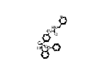 O=C(NCc1cccnc1)Nc1ccc(S(=O)(=O)Nc2ccccc2Oc2ccccc2)cc1